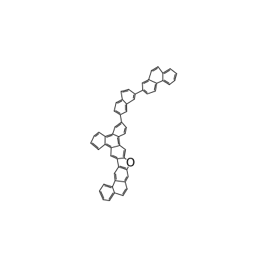 c1ccc2c(c1)ccc1cc(-c3ccc4ccc(-c5ccc6c(c5)c5ccccc5c5cc7c(cc65)oc5cc6ccc8ccccc8c6cc57)cc4c3)ccc12